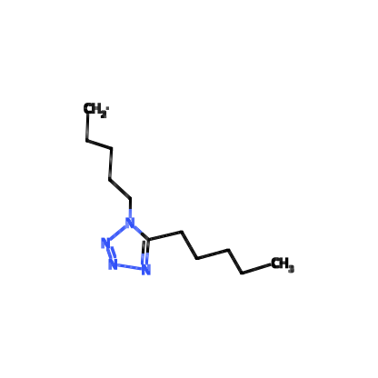 [CH2]CCCCn1nnnc1CCCCC